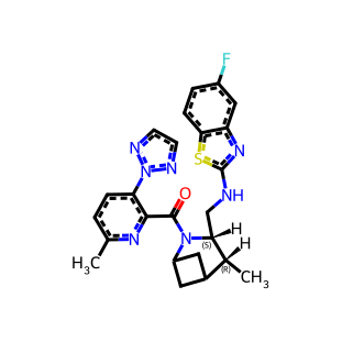 Cc1ccc(-n2nccn2)c(C(=O)N2C3CC(C3)[C@@H](C)[C@H]2CNc2nc3cc(F)ccc3s2)n1